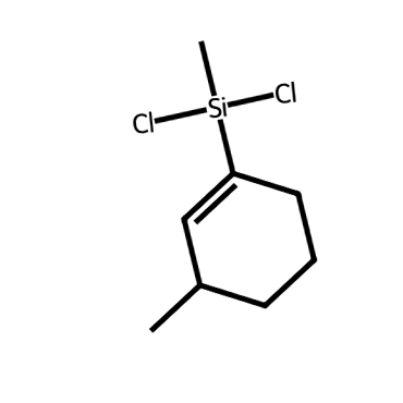 CC1C=C([Si](C)(Cl)Cl)CCC1